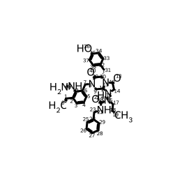 C=Cc1cccc(CN2C[C@H]3N(C(=O)CN3N(CCC)C(=O)NCc3ccccc3)[C@@H](Cc3ccc(O)cc3)C2=O)c1NN